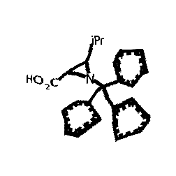 CC(C)C1C(C(=O)O)N1C(c1ccccc1)(c1ccccc1)c1ccccc1